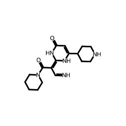 N=C/C(C(=O)N1CCCCC1)=C1/NC(=O)C=C(C2CCNCC2)N1